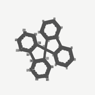 c1ccc2c(c1)-c1ccccc1C21c2cncnc2-c2ncncc21